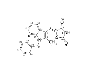 Cc1c(C=C2SC(=O)NC2=O)c2ccccc2n1Cc1ccccc1